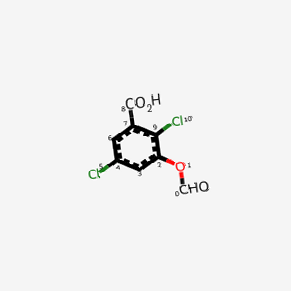 O=COc1cc(Cl)cc(C(=O)O)c1Cl